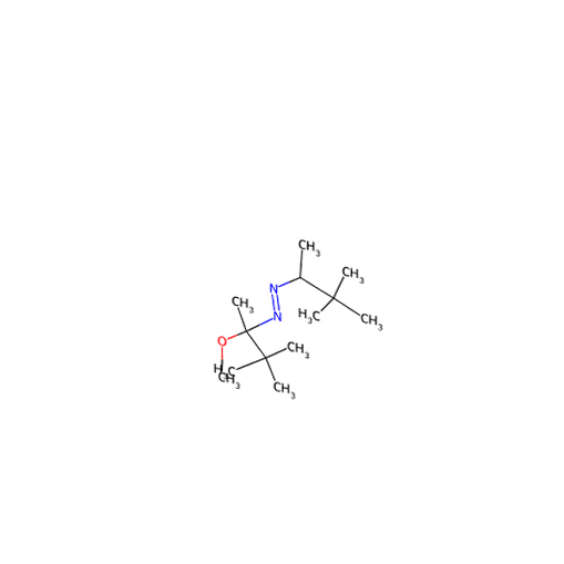 COC(C)(N=NC(C)C(C)(C)C)C(C)(C)C